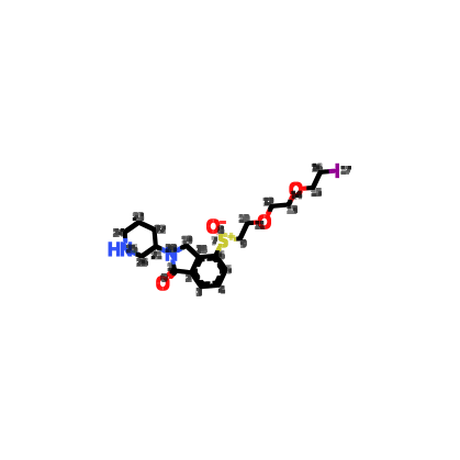 O=C1c2cccc([S+]([O-])CCOCCOCCI)c2CN1C1CCCNC1